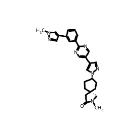 CN1C[C@]2(CC[C@H](n3cc(-c4cnc(-c5cccc(-c6cnn(C)c6)c5)nc4)cn3)CC2)CC1=O